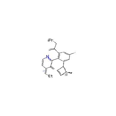 C=C(CC(C)C)c1cc(C)cc(C2C=C[C@@H]2C)c1-c1ncc/c(=C/CC)c1=C